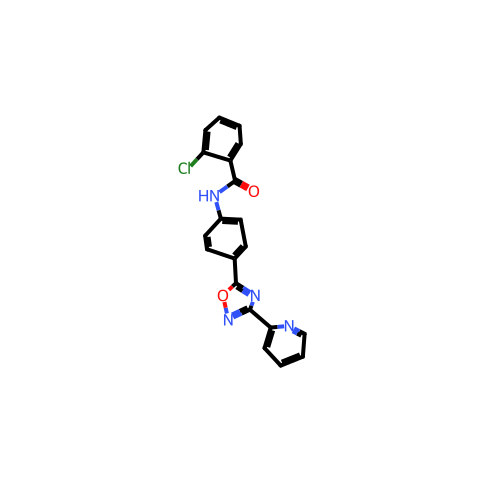 O=C(Nc1ccc(-c2nc(-c3ccccn3)no2)cc1)c1ccccc1Cl